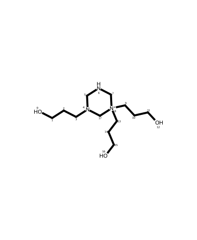 OCCCN1CNC[N+](CCCO)(CCCO)C1